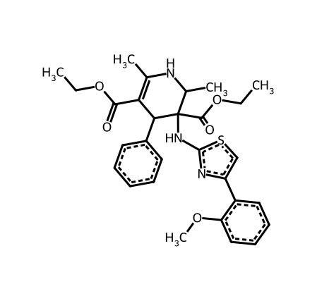 CCOC(=O)C1=C(C)NC(C)C(Nc2nc(-c3ccccc3OC)cs2)(C(=O)OCC)C1c1ccccc1